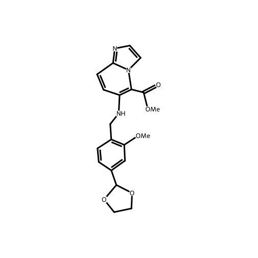 COC(=O)c1c(NCc2ccc(C3OCCO3)cc2OC)ccc2nccn12